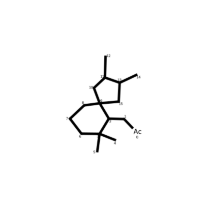 CC(=O)CC1C(C)(C)CCCC12CC(C)C(C)C2